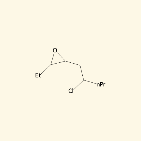 [CH2]CCC(Cl)CC1OC1CC